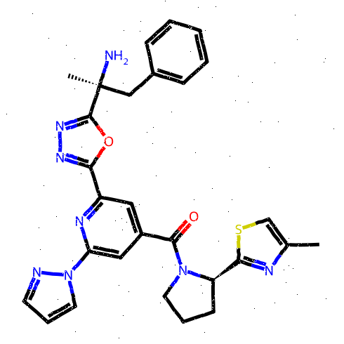 Cc1csc([C@H]2CCCN2C(=O)c2cc(-c3nnc([C@@](C)(N)Cc4ccccc4)o3)nc(-n3cccn3)c2)n1